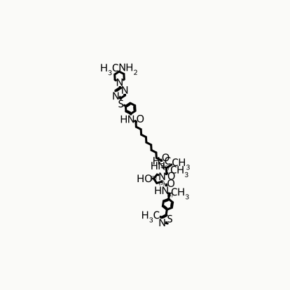 Cc1ncsc1-c1ccc([C@H](C)NC(=O)[C@@H]2C[C@@H](O)CN2C(=O)[C@@H](NC(=O)CCCCCCCCCC(=O)Nc2cccc(Sc3cnc(N4CCC(C)(N)CC4)cn3)c2)C(C)(C)C)cc1